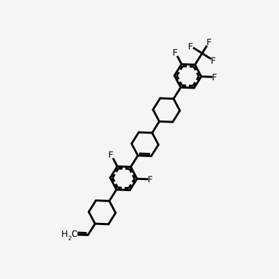 C=CC1CCC(c2cc(F)c(C3=CCC(C4CCC(c5cc(F)c(C(F)(F)F)c(F)c5)CC4)CC3)c(F)c2)CC1